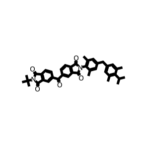 Cc1cc(Cc2cc(C)c(N3C(=O)c4ccc(C(=O)c5ccc6c(c5)C(=O)N(C(C)(C)C)C6=O)cc4C3=O)c(C)c2)cc(C)c1C(C)C